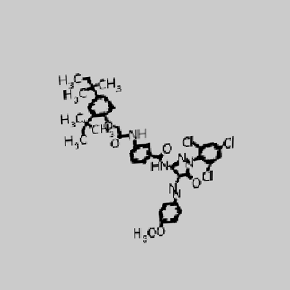 CCC(C)(C)c1ccc(OCC(=O)Nc2cccc(C(=O)NC3=NN(c4c(Cl)cc(Cl)cc4Cl)C(=O)C3/N=N/c3ccc(OC)cc3)c2)c(C(C)(C)CC)c1